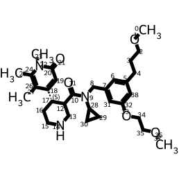 COCCCc1cc(CN(C(=O)C2CNCC[C@@H]2c2cc(=O)n(C)c(C)c2C)C2CC2)cc(OCCOC)c1